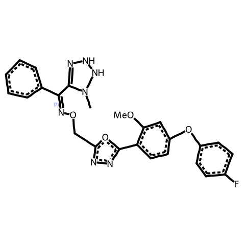 COc1cc(Oc2ccc(F)cc2)ccc1-c1nnc(CO/N=C(\C2=NNNN2C)c2ccccc2)o1